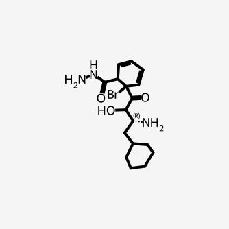 NNC(=O)C1C=CC=CC1(Br)C(=O)C(O)[C@H](N)CC1CCCCC1